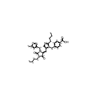 CCCCc1ncc(C=C2C(=O)N(CCCC)C(=O)N2Cc2cc(C)on2)n1Cc1ccc(C(=O)O)cc1